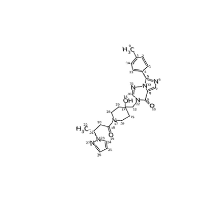 Cc1ccc(-c2ncc3c(=O)n(CC4(O)CCN(C(=O)C[C@@H](C)n5cccn5)CC4)cnn23)cc1